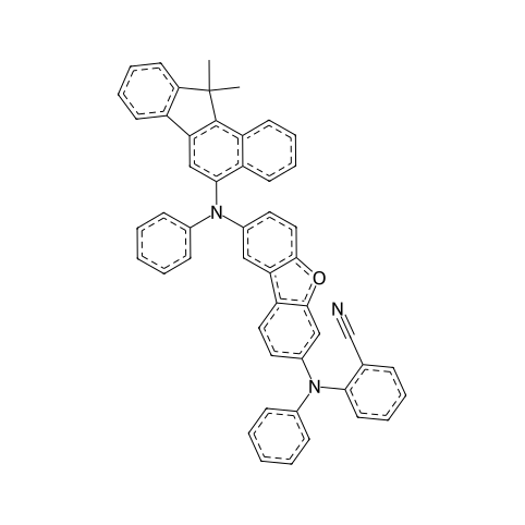 CC1(C)c2ccccc2-c2cc(N(c3ccccc3)c3ccc4oc5cc(N(c6ccccc6)c6ccccc6C#N)ccc5c4c3)c3ccccc3c21